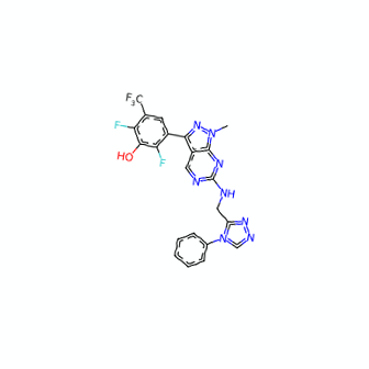 Cn1nc(-c2cc(C(F)(F)F)c(F)c(O)c2F)c2cnc(NCc3nncn3-c3ccccc3)nc21